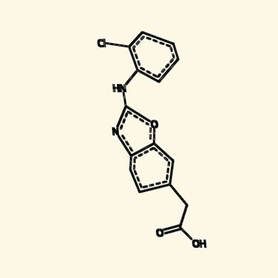 O=C(O)Cc1ccc2nc(Nc3ccccc3Cl)oc2c1